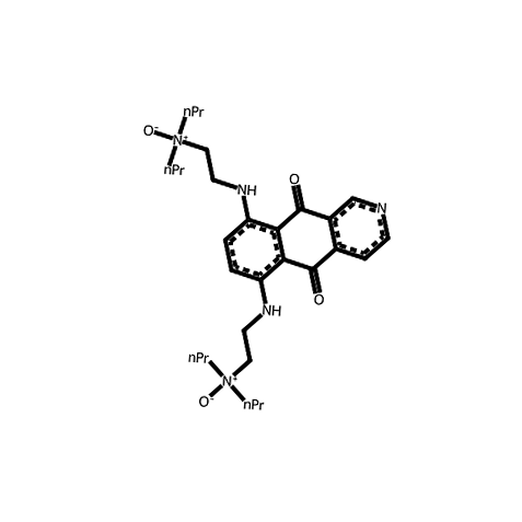 CCC[N+]([O-])(CCC)CCNc1ccc(NCC[N+]([O-])(CCC)CCC)c2c1C(=O)c1ccncc1C2=O